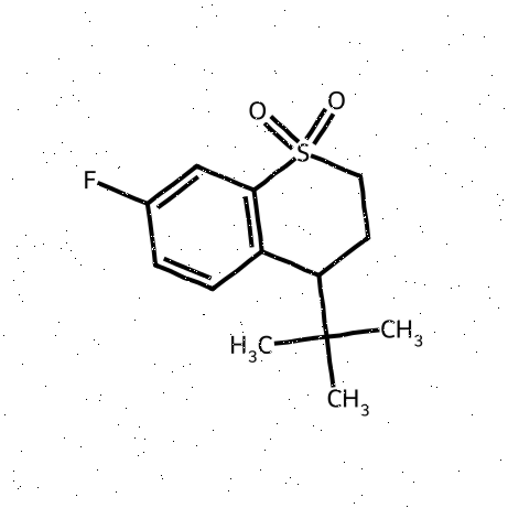 CC(C)(C)C1CCS(=O)(=O)c2cc(F)ccc21